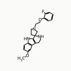 COc1ccc2[nH]c3c(c2c1)CCNC31CCN(CCOc2ccccc2F)C1